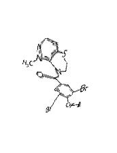 Cn1ncc2c1N(C(=O)c1cc(Br)c(O)c(Br)c1)CCS2